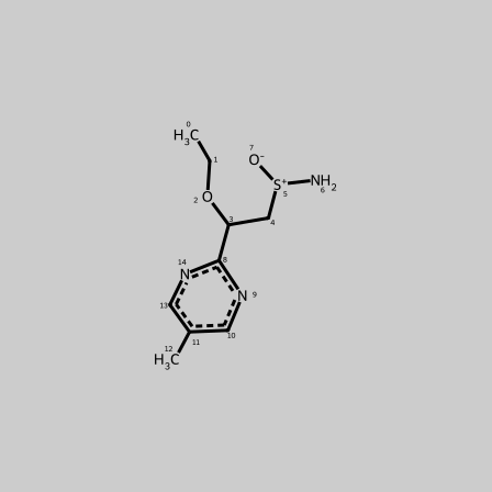 CCOC(C[S+](N)[O-])c1ncc(C)cn1